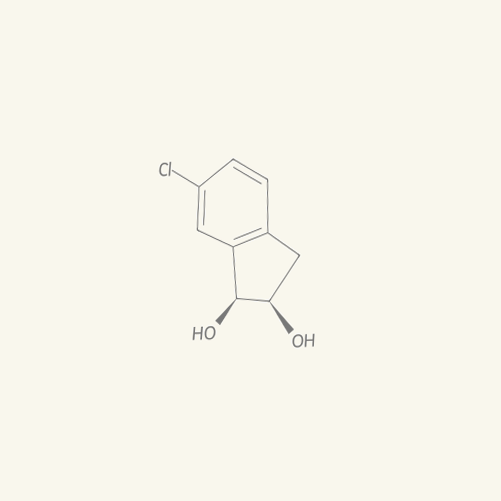 O[C@@H]1Cc2ccc(Cl)cc2[C@@H]1O